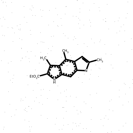 CCOC(=O)c1[nH]c2cc3c(c(C)c2c1C)C=C(C)[N]3